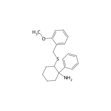 COc1ccccc1CSC1CCCCC1(N)c1ccccc1